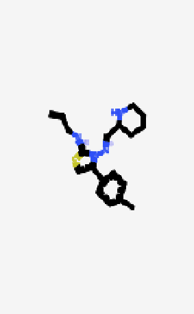 C=CC/N=c1\scc(-c2ccc(C)cc2)n1/N=C/C1CCCCN1